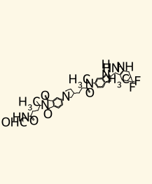 CC(CCC(=O)NC=O)N1C(=O)c2ccc(N3CCC(CCC(=O)N(C)c4ccc5cc(C6NNC7=C6CC6C(F)(F)C6(C)C7)[nH]c5c4)C3)cc2C1=O